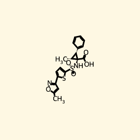 Cc1cc(-c2ccc(S(=O)(=O)N[C@@]3(C(=O)O)[C@H](C)[C@@H]3c3ccccc3)s2)no1